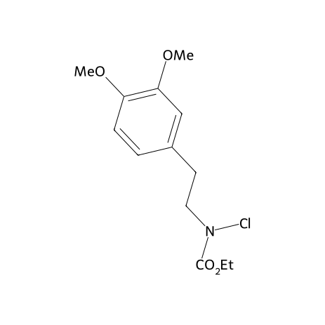 CCOC(=O)N(Cl)CCc1ccc(OC)c(OC)c1